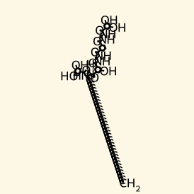 C=C=C=C=C=C=C=C=C=C=C=C=C=C=C=C=C=C=C=C=C=C=C=C=C=C=C=C=C=C=C=C=C=C=C=C(NC(=O)c1cc(O)cc(O)c1)NC(=O)c1cc(O)cc(C(=O)NCNC(=O)c2cccc(C(=O)NCNC(=O)c3cc(O)cc(O)c3)c2)c1